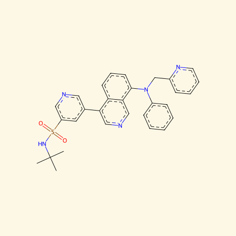 CC(C)(C)NS(=O)(=O)c1cncc(-c2cncc3c(N(Cc4ccccn4)c4ccccc4)cccc23)c1